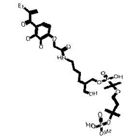 C=C(CC)C(=O)c1ccc(OCC(=O)NCCCCC(CO)COP(=O)(O)C(C)(C)OCCC(C)(C)OP(=O)(O)OC)c(Cl)c1Cl